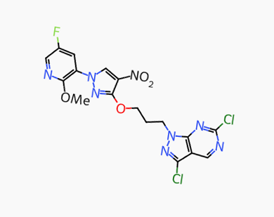 COc1ncc(F)cc1-n1cc([N+](=O)[O-])c(OCCCn2nc(Cl)c3cnc(Cl)nc32)n1